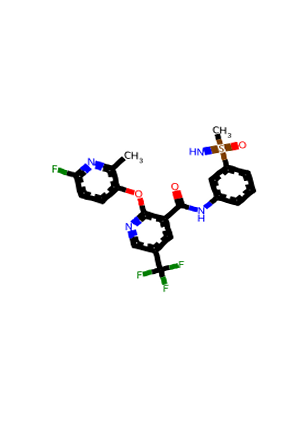 Cc1nc(F)ccc1Oc1ncc(C(F)(F)F)cc1C(=O)Nc1cccc(S(C)(=N)=O)c1